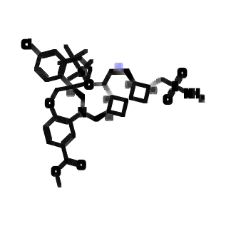 COC(=O)c1ccc2c(c1)N(C[C@@H]1CC[C@H]1C(/C=C\[C@@H]1CC[C@H]1CS(N)(=O)=O)O[Si](C)(C)C(C)(C)C)C[C@@]1(CCCc3cc(Cl)ccc31)CO2